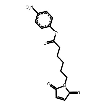 O=C(CCCCCN1C(=O)C=CC1=O)Oc1ccc([N+](=O)[O-])cc1